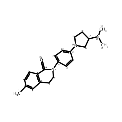 Cc1ccc2c(c1)CCN(c1ccc(N3CCC(N(C)C)C3)cc1)C2=O